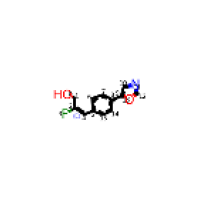 OC/C(F)=C\c1ccc(-c2cnco2)cc1